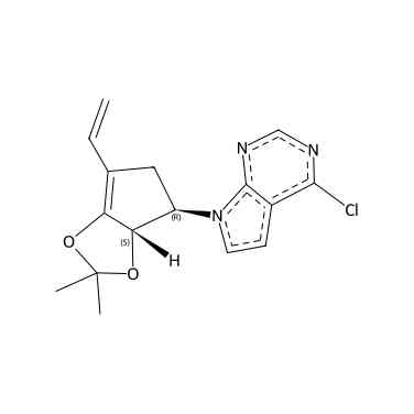 C=CC1=C2OC(C)(C)O[C@H]2[C@H](n2ccc3c(Cl)ncnc32)C1